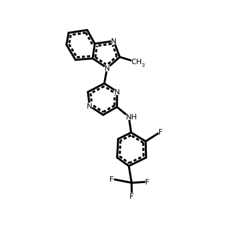 Cc1nc2ccccc2n1-c1cncc(Nc2ccc(C(F)(F)F)cc2F)n1